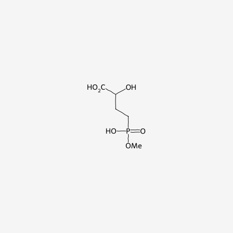 COP(=O)(O)CCC(O)C(=O)O